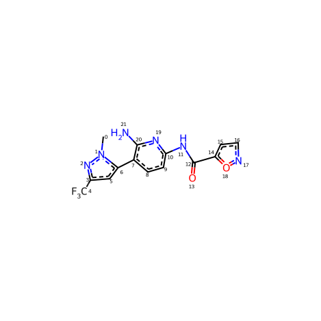 Cn1nc(C(F)(F)F)cc1-c1ccc(NC(=O)c2ccno2)nc1N